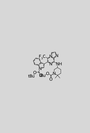 CC(C)(C)OC(=O)N1CC(Nc2nc(-c3cn(C(=O)OC(C)(C)C)c4ccccc34)c(C(F)(F)F)n3ccnc23)CCC1(C)C